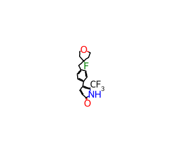 O=c1ccc(-c2ccc(CC3(F)CCOCC3)cc2)c(C(F)(F)F)[nH]1